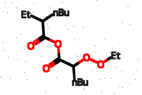 CCCCC(CC)C(=O)OC(=O)C(CCCC)OOCC